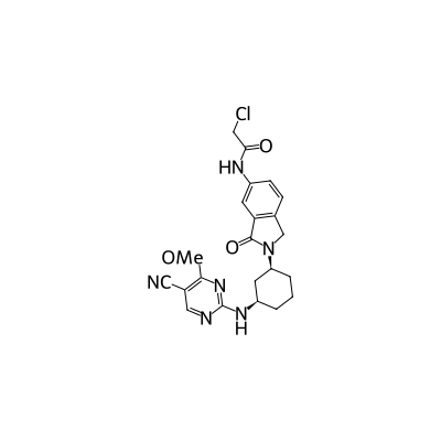 COc1nc(N[C@@H]2CCC[C@H](N3Cc4ccc(NC(=O)CCl)cc4C3=O)C2)ncc1C#N